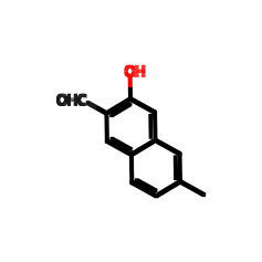 Cc1ccc2cc(C=O)c(O)cc2c1